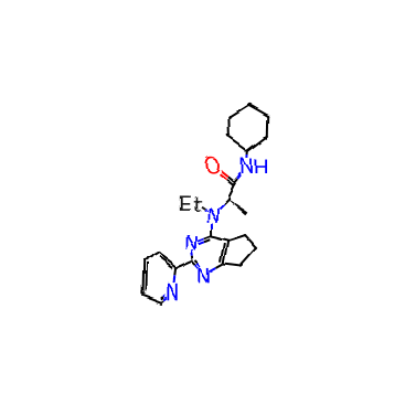 CCN(c1nc(-c2ccccn2)nc2c1CCC2)[C@H](C)C(=O)NC1CCCCC1